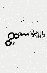 COc1ccccc1/C1=C/c2ccc(OCCCCOC(=O)C(C)(N)CN)cc2CCCC1